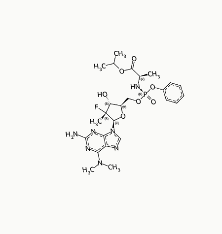 CC(C)OC(=O)[C@@H](C)N[P@@](=O)(OC[C@H]1O[C@@H](n2cnc3c(N(C)C)nc(N)nc32)[C@](C)(F)[C@@H]1O)Oc1ccccc1